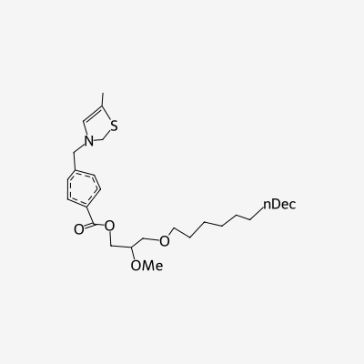 CCCCCCCCCCCCCCCCOCC(COC(=O)c1ccc(CN2C=C(C)SC2)cc1)OC